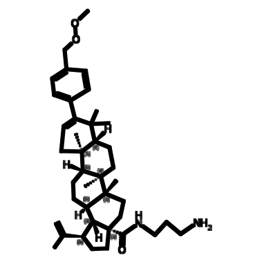 C=C(C)[C@@H]1CC[C@]2(C(=O)NCCCN)CC[C@]3(C)[C@H](CC[C@@H]4[C@@]5(C)CC=C(c6ccc(COOC)cc6)C(C)(C)[C@@H]5CC[C@]43C)[C@@H]12